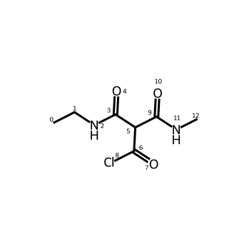 CCNC(=O)C(C(=O)Cl)C(=O)NC